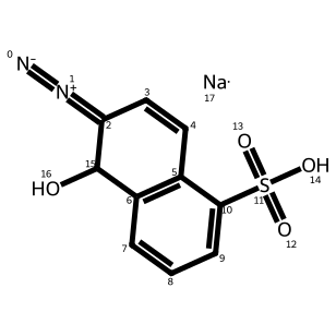 [N-]=[N+]=C1C=Cc2c(cccc2S(=O)(=O)O)C1O.[Na]